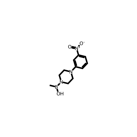 CB(O)N1CCN(c2cccc([N+](=O)[O-])c2)CC1